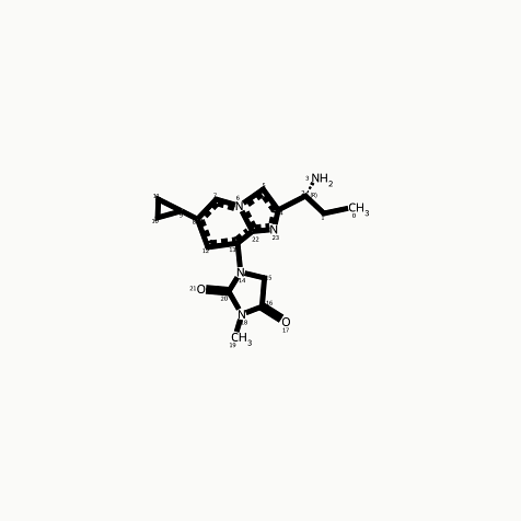 CC[C@@H](N)c1cn2cc(C3CC3)cc(N3CC(=O)N(C)C3=O)c2n1